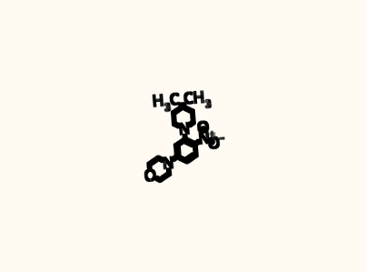 CC1(C)CCN(c2cc(N3CCOCC3)ccc2[N+](=O)[O-])CC1